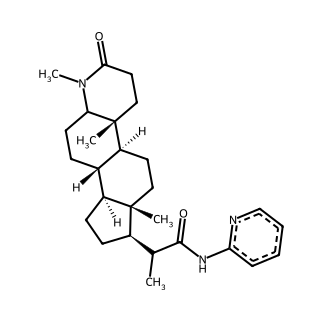 CC(C(=O)Nc1ccccn1)[C@H]1CC[C@H]2[C@@H]3CCC4N(C)C(=O)CC[C@]4(C)[C@H]3CC[C@]12C